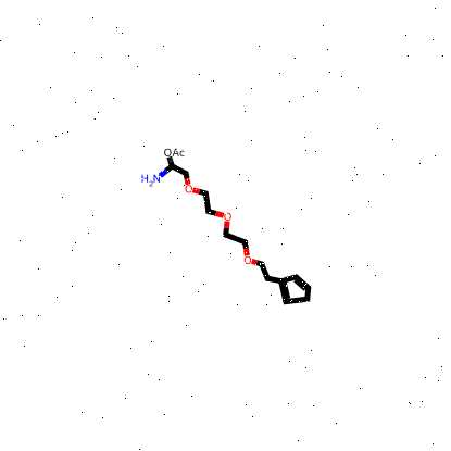 CC(=O)OC(N)COCCOCCOCCC1=CCC=C1